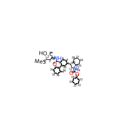 CSCC[C@H](NC(=O)c1ccc(CC[N+](C)(C(=O)Oc2ccccc2)C2CCCCC2)cc1-c1ccccc1C)C(=O)O